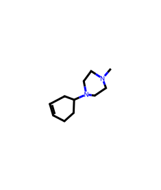 CN1CCN(C2CC=CCC2)CC1